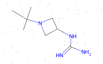 CC(C)(C)N1CC(NC(=N)N)C1